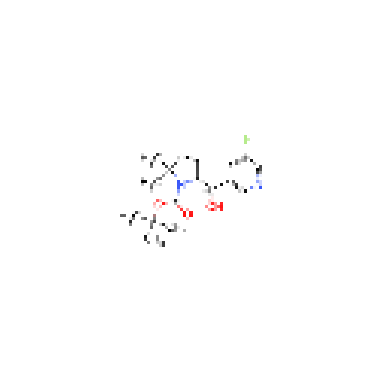 CC(C)(C)OC(=O)N1C([C@@H](O)c2cncc(F)c2)CCC1(C)C